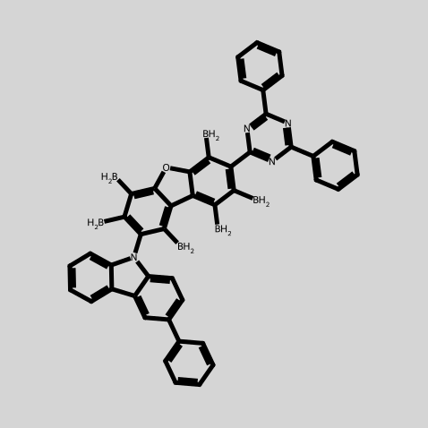 Bc1c(-n2c3ccccc3c3cc(-c4ccccc4)ccc32)c(B)c2c(oc3c(B)c(-c4nc(-c5ccccc5)nc(-c5ccccc5)n4)c(B)c(B)c32)c1B